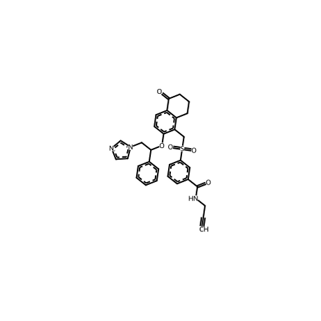 C#CCNC(=O)c1cccc(S(=O)(=O)Cc2c(OC(Cn3ccnc3)c3ccccc3)ccc3c2CCCC3=O)c1